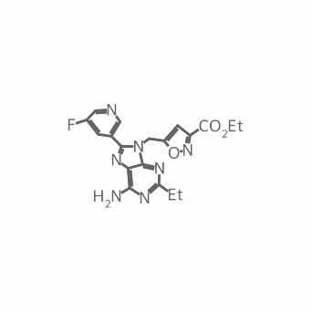 CCOC(=O)c1cc(Cn2c(-c3cncc(F)c3)nc3c(N)nc(CC)nc32)on1